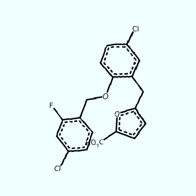 O=C(O)c1ccc(Cc2cc(Cl)ccc2OCc2ccc(Cl)cc2F)o1